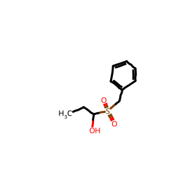 CCC(O)S(=O)(=O)Cc1ccccc1